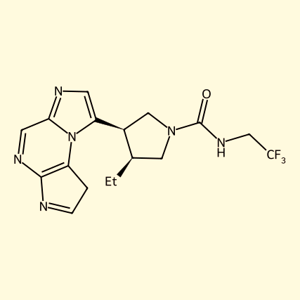 CC[C@@H]1CN(C(=O)NCC(F)(F)F)C[C@@H]1c1cnc2cnc3c(n12)CC=N3